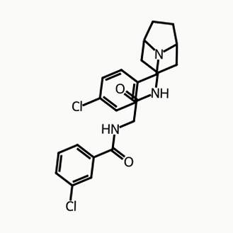 O=C(CNC(=O)c1cccc(Cl)c1)NC1CC2CCC(C1)N2Cc1ccc(Cl)cc1